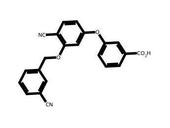 N#Cc1cccc(COc2cc(Oc3cccc(C(=O)O)c3)ccc2C#N)c1